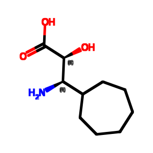 N[C@H](C1CCCCCC1)[C@H](O)C(=O)O